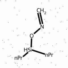 C=NO[SiH](CCC)CCC